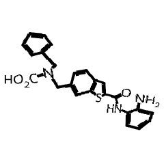 Nc1ccccc1NC(=O)c1cc2ccc(CN(Cc3ccccc3)C(=O)O)cc2s1